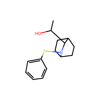 CC(O)C1C2CCC(CC2)N1Sc1ccccc1